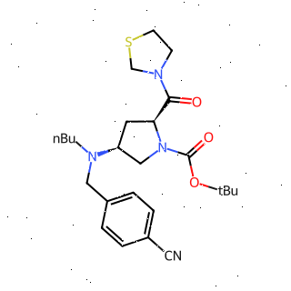 CCCCN(Cc1ccc(C#N)cc1)[C@H]1C[C@@H](C(=O)N2CCSC2)N(C(=O)OC(C)(C)C)C1